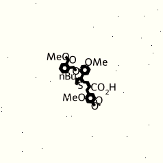 CCCCc1csc(/C=C(\Cc2cc3c(cc2OC)OCO3)C(=O)O)c1-c1ccc(OC)cc1OCc1ccccc1C(=O)OC